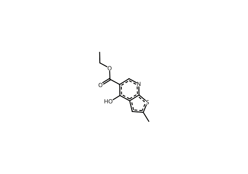 CCOC(=O)c1cnc2sc(C)cc2c1O